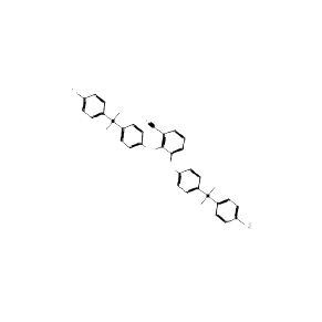 CC(C)(c1ccc(N)cc1)c1ccc(Oc2cccc(C#N)c2Oc2ccc(C(C)(C)c3ccc(N)cc3)cc2)cc1